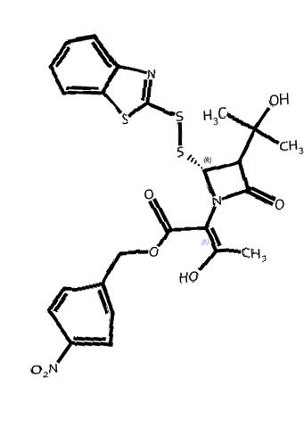 C/C(O)=C(/C(=O)OCc1ccc([N+](=O)[O-])cc1)N1C(=O)C(C(C)(C)O)[C@H]1SSc1nc2ccccc2s1